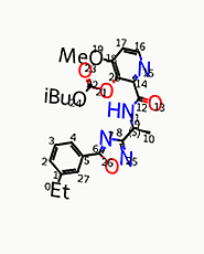 CCc1cccc(-c2nc([C@H](C)NC(=O)c3nccc(OC)c3OC(=O)OCC(C)C)no2)c1